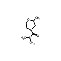 CC1CN(C(=O)N(C)C)CCO1